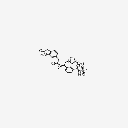 CN(C(=O)Cc1ccc2c(c1)NC(=O)C2)C(CN1CC[C@H](O)C1)c1cccc(C(=O)NS(C)(=O)=O)c1